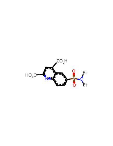 CCN(CC)S(=O)(=O)c1ccc2nc(C(=O)O)cc(C(=O)O)c2c1